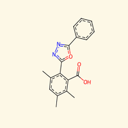 Cc1cc(C)c(-c2nnc(-c3ccccc3)o2)c(C(=O)O)c1C